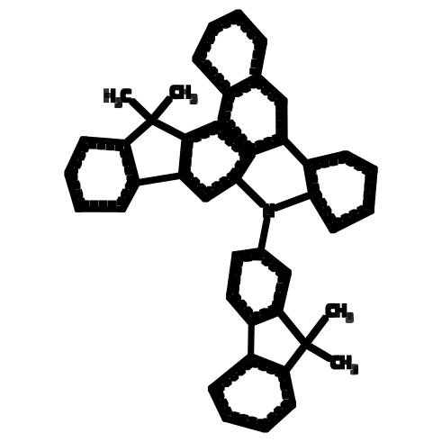 CC1(C)c2ccccc2-c2cc(N(c3ccc4c(c3)C(C)(C)c3ccccc3-4)c3ccccc3-c3ccc4ccccc4c3)ccc21